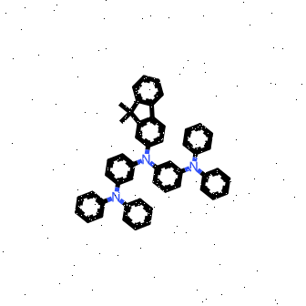 CC1(C)c2ccccc2-c2ccc(N(c3cccc(N(c4ccccc4)c4ccccc4)c3)c3cccc(N(c4ccccc4)c4ccccc4)c3)cc21